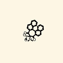 CN(C)C1(P(=O)=O)C(=O)c2ccc3ccccc3c2-c2c(ccc3ccccc23)C1=O